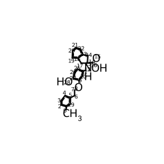 Cc1cccc(CCOc2cc(NC3(C(=O)O)Cc4ccccc4C3)ccc2O)c1